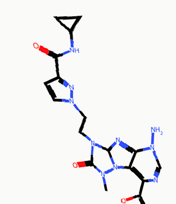 CN1C(=O)N(CCn2ccc(C(=O)NC3CC3)n2)C2N=C3C(=C(c4ccco4)N=CN3N)N21